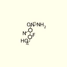 N#Cc1cc(C(=O)N2CC[C@H](N)C2)ccc1-c1ccc(CC2(O)CC2)cc1F